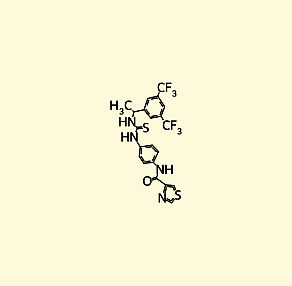 C[C@@H](NC(=S)Nc1ccc(NC(=O)c2cscn2)cc1)c1cc(C(F)(F)F)cc(C(F)(F)F)c1